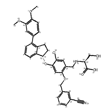 COc1ccc(-c2cccc3c2CC[C@@H]3Oc2cc(OCc3cncc(C#N)c3)c(CN[C@@H](CO)C(=O)O)cc2Cl)cc1OC